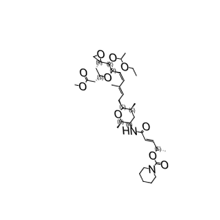 CCOC(C)O[C@@H]1[C@@H](C=CC(C)=CC[C@@H]2O[C@H](C)[C@H](NC(=O)C=C[C@H](C)OC(=O)N3CCCCC3)C[C@@H]2C)O[C@H](CC(=O)OC)C[C@@]12CO2